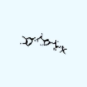 Cc1cc(CNC(=O)c2cc(C(=O)C(=O)NC(C)(C)C)c[nH]2)ccc1F